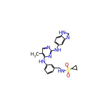 Cc1cnc(Nc2ccc3[nH]cnc3c2)nc1Nc1cccc(CNS(=O)(=O)C2CC2)c1